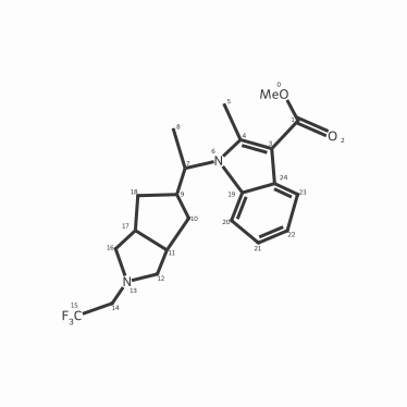 COC(=O)c1c(C)n(C(C)C2CC3CN(CC(F)(F)F)CC3C2)c2ccccc12